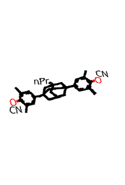 CCCC12CC3CC(c4cc(C)c(OC#N)c(C)c4)(C1)CC(c1cc(C)c(OC#N)c(C)c1)(C3)C2